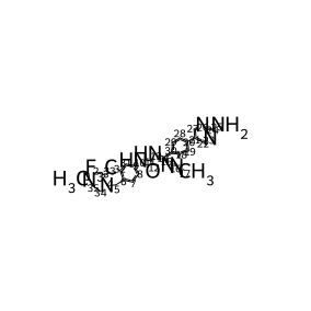 CN1CCN(Cc2ccc(NC(=O)Nc3nn(C)c4cc(-c5cnc(N)nc5)ccc34)cc2C(F)(F)F)CC1